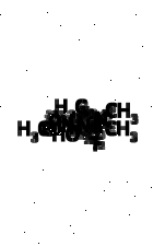 CCCN(CCC)C(=O)C[C@@H]1[C@H](C)[C@H]1C(=O)N[C@@H](Cc1cc(F)cc(F)c1)[C@H](O)CNCc1cccc(OC)c1